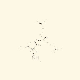 CCC(=O)SCCOP(=O)(OCCSC(=O)CC)c1ccc(-c2nc(N)sc2C(=O)C(C)(C)C)o1